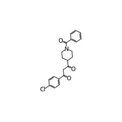 O=C(CC(=O)C1CCN(C(=O)c2ccccc2)CC1)c1ccc(Cl)cc1